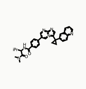 CC(C)C(NC(=O)c1ccc(-c2cnc3ncc(C4(c5ccc6ncccc6c5)CC4)n3c2)cc1)C(=O)N(C)C